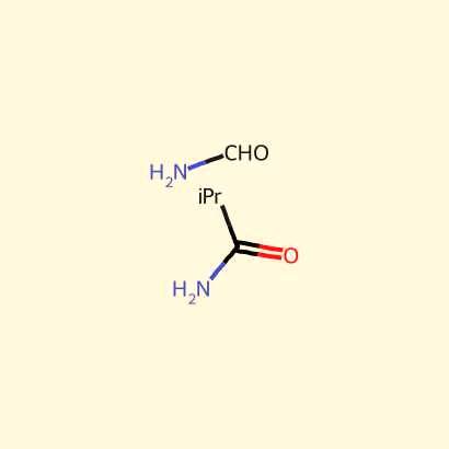 CC(C)C(N)=O.NC=O